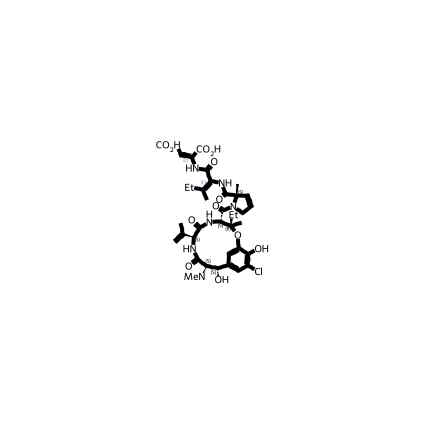 C=C(C)[C@@H]1NC(=O)[C@@H](NC)[C@@H](O)c2cc(Cl)c(O)c(c2)O[C@](C)(CC)[C@@H](C(=O)N2CC=C[C@@]2(C)C(=O)N/C(C(=O)N/C(=C/C(=O)O)C(=O)O)=C(\C)CC)NC1=O